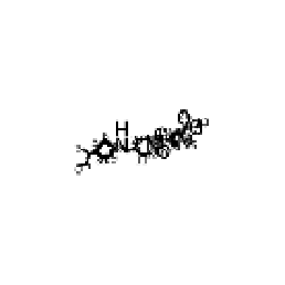 CCC(C)c1ccc(NCC2CCN(S(=O)(=O)c3cc(C(=O)OC)n(C)c3)CC2)cc1